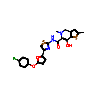 Cc1cc2c(s1)C(O)=C(C(=O)Nc1nc(-c3ccc(Oc4ccc(F)cc4)o3)cs1)N(C)C2